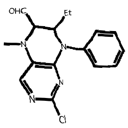 CCC1C(C=O)N(C)c2cnc(Cl)nc2N1c1ccccc1